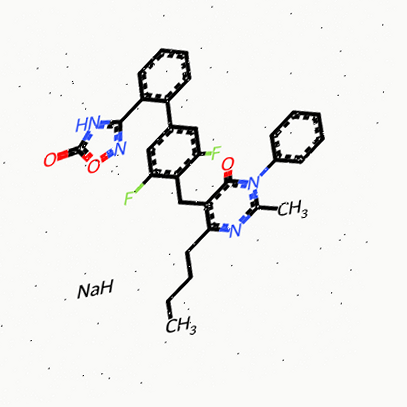 CCCCc1nc(C)n(-c2ccccc2)c(=O)c1Cc1c(F)cc(-c2ccccc2-c2noc(=O)[nH]2)cc1F.[NaH]